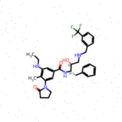 CCNc1cc(C(=O)N[C@@H](Cc2ccccc2)[C@@H](O)CNCc2cccc(C(F)(F)F)c2)cc(N2CCCC2=O)c1C